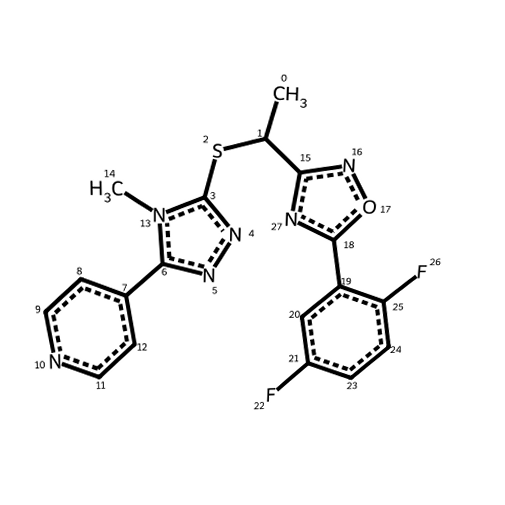 CC(Sc1nnc(-c2ccncc2)n1C)c1noc(-c2cc(F)ccc2F)n1